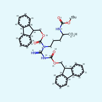 CC(C)(C)OC(=O)NC(CCCN(C(=N)NC(=O)OCC1c2ccccc2-c2ccccc21)C(=O)OCC1c2ccccc2-c2ccccc21)C(=O)O